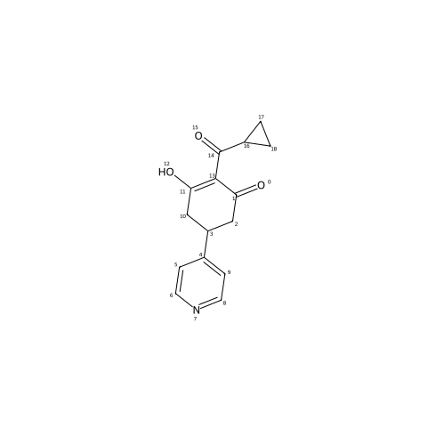 O=C1CC(c2ccncc2)CC(O)=C1C(=O)C1CC1